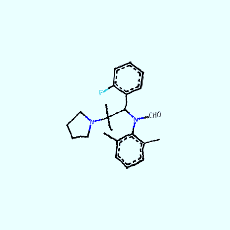 Cc1cccc(C)c1N(C=O)C(c1ccccc1F)C(C)(C)N1CCCC1